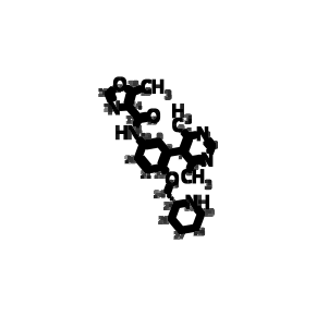 Cc1ncnc(C)c1-c1cc(NC(=O)c2ncoc2C)ccc1OC[C@H]1CCCCN1